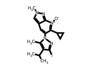 Cc1c(C(C)C)c(I)nn1-c1cc2cn(C)nc2[n+]([O-])c1C1CC1